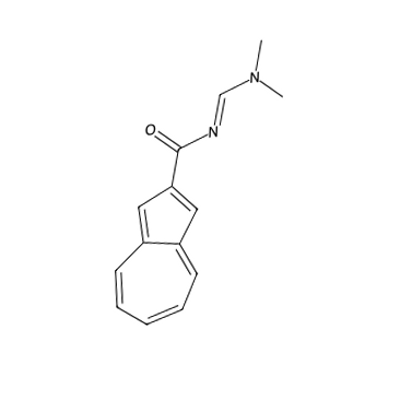 CN(C)C=NC(=O)c1cc2cccccc-2c1